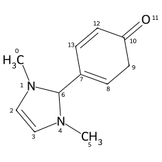 CN1C=CN(C)C1C1=CCC(=O)C=C1